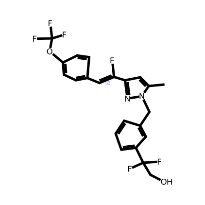 Cc1cc(/C(F)=C/c2ccc(OC(F)(F)F)cc2)nn1Cc1cccc(C(F)(F)CO)c1